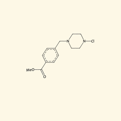 COC(=O)c1ccc(CN2CCN(Cl)CC2)cc1